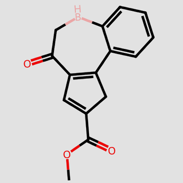 COC(=O)C1=CC2=C(C1)c1ccccc1BCC2=O